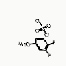 COc1ccc(F)c(F)c1.O=S(=O)(Cl)Cl